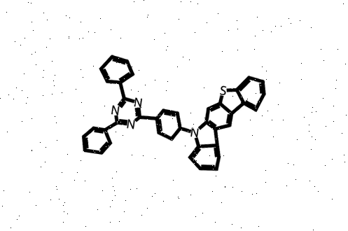 C1=CC(n2c3ccccc3c3cc4c(cc32)sc2ccccc24)CC=C1c1nc(-c2ccccc2)nc(-c2ccccc2)n1